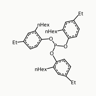 CCCCCCc1cc(CC)ccc1OP(Oc1ccc(CC)cc1CCCCCC)Oc1ccc(CC)cc1CCCCCC